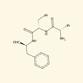 CC(C)C[C@H](NC(=O)[C@@H](N)C(C)C)C(=O)N[C@H]([C]=O)Cc1ccccc1